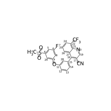 CS(=O)(=O)c1cc(F)cc(Oc2cccc(-c3c(C#N)cnc4c(C(F)(F)F)cccc34)c2)c1